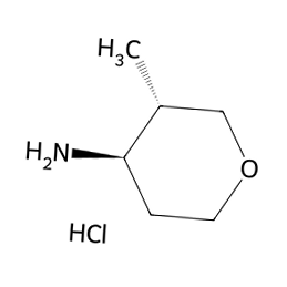 C[C@@H]1COCC[C@H]1N.Cl